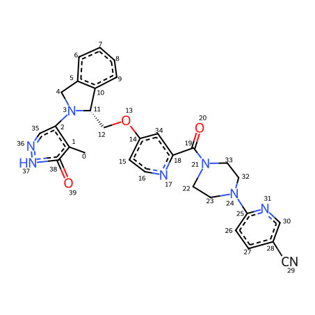 Cc1c(N2Cc3ccccc3[C@@H]2COc2ccnc(C(=O)N3CCN(c4ccc(C#N)cn4)CC3)c2)cn[nH]c1=O